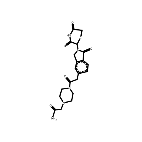 NC(=O)CN1CCN(C(=O)Cc2ccc3c(c2)CN(C2CCC(=O)NC2=O)C3=O)CC1